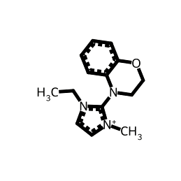 CCn1cc[n+](C)c1N1CCOc2ccccc21